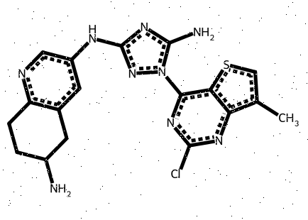 Cc1csc2c(-n3nc(Nc4cnc5c(c4)CC(N)CC5)nc3N)nc(Cl)nc12